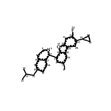 Cc1cc(-c2nccc3cc(CC(C)C)ccc23)c2oc3cc(F)c(C4CC4)cc3c2c1